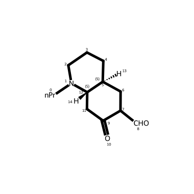 CCCN1CCC[C@H]2CC(C=O)C(=O)C[C@@H]21